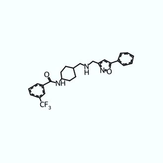 O=C(NC1CCC(CNCc2cc(-c3ccccc3)on2)CC1)c1cccc(C(F)(F)F)c1